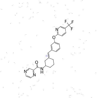 O=C(NC1CCC/C(=C\c2cccc(Oc3ccc(C(F)(F)F)cn3)c2)C1)c1cnccn1